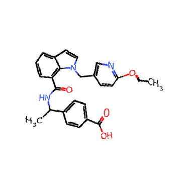 CCOc1ccc(Cn2ccc3cccc(C(=O)NC(C)c4ccc(C(=O)O)cc4)c32)cn1